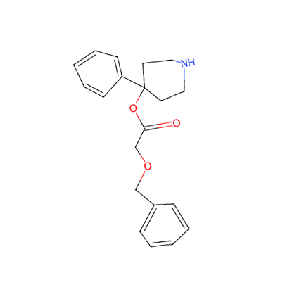 O=C(COCc1ccccc1)OC1(c2ccccc2)CCNCC1